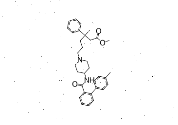 COC(=O)CC(C)(CCCN1CCC(NC(=O)c2ccccc2-c2ccc(C)cc2)CC1)c1ccccc1